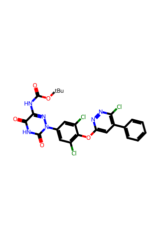 CC(C)(C)OC(=O)Nc1nn(-c2cc(Cl)c(Oc3cc(-c4ccccc4)c(Cl)nn3)c(Cl)c2)c(=O)[nH]c1=O